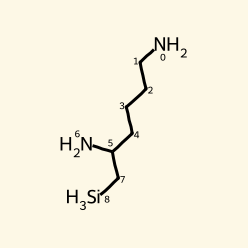 NCCCCC(N)C[SiH3]